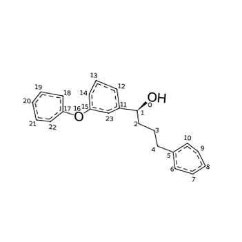 O[C@@H](CCCc1ccccc1)c1cccc(Oc2ccccc2)c1